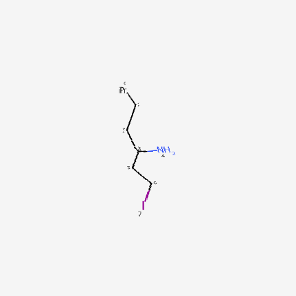 CC(C)CCC(N)CCI